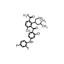 Cc1ccc(C(N)=O)c(C(CO)CC(C)C)c1C(=O)c1ccc(Nc2ccc(F)cc2F)cc1Cl